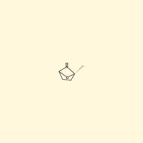 [CH2][C@@]12CCC(N1)O2